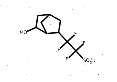 O=S(=O)(O)C(F)(F)C(F)(F)C1CC2CC(O)C1C2